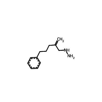 C=C(CCCc1ccccc1)CNN